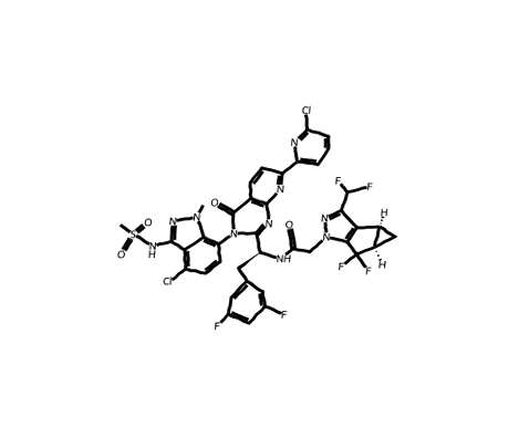 Cn1nc(NS(C)(=O)=O)c2c(Cl)ccc(-n3c([C@H](Cc4cc(F)cc(F)c4)NC(=O)Cn4nc(C(F)F)c5c4C(F)(F)[C@@H]4C[C@H]54)nc4nc(-c5cccc(Cl)n5)ccc4c3=O)c21